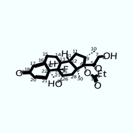 CCC(=O)O[C@@]1(C(=O)CO)[C@@H](C)C[C@H]2[C@@H]3CCC4=CC(=O)C=C[C@]4(C)[C@@]3(F)[C@@H](O)C[C@@]21C